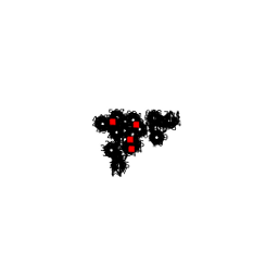 c1ccc(N(c2ccc3c4c(c5ccccc5c3c2)-c2c(N(c3ccccc3)c3cccc5c3oc3ccncc35)cc3c(oc5ccccc53)c2C42c3ccccc3-c3ccccc32)c2cccc3c2oc2ccncc23)cc1